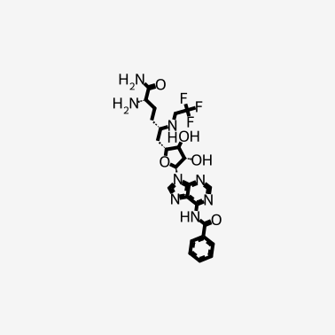 NC(=O)[C@@H](N)CC[C@@H](C[C@H]1O[C@@H](n2cnc3c(NC(=O)c4ccccc4)ncnc32)[C@@H](O)C1O)NCC(F)(F)F